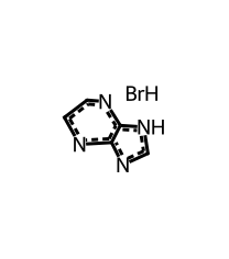 Br.c1cnc2[nH]cnc2n1